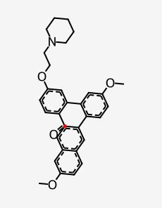 COc1ccc(-c2ccc3cc(OC)ccc3c2)c(-c2cc(OCCN3CCCCC3)ccc2C=O)c1